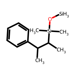 CC(c1ccccc1)C(C)[Si](C)(C)O[SiH3]